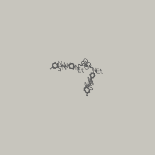 CCN(CCOS(=O)(=O)OCCN(CC)c1ccc(/N=N/c2nc3ccc(C)cc3s2)cc1)c1ccc(/N=N/c2nc3ccc(C)cc3s2)cc1